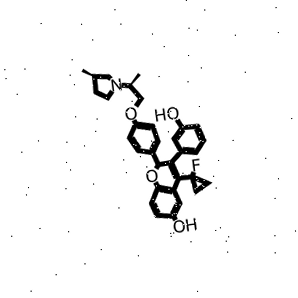 C[C@@H]1CCN([C@@H](C)COc2ccc(C3Oc4ccc(O)cc4C(C4(F)CC4)=C3c3cccc(O)c3)cc2)C1